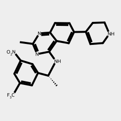 Cc1nc(N[C@H](C)c2cc([N+](=O)[O-])cc(C(F)(F)F)c2)c2cc(C3=CCNCC3)ccc2n1